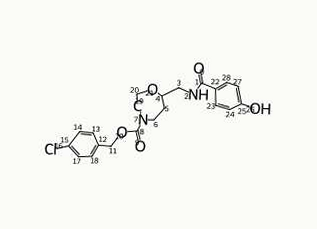 O=C(NCC1CCN(C(=O)OCc2ccc(Cl)cc2)CCO1)c1ccc(O)cc1